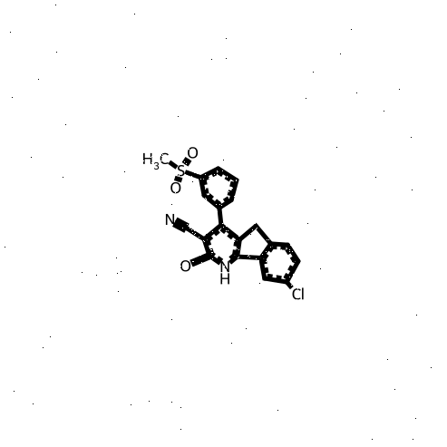 CS(=O)(=O)c1cccc(-c2c3c([nH]c(=O)c2C#N)-c2cc(Cl)ccc2C3)c1